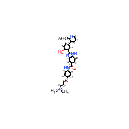 COc1ncccc1-c1ccc(O)c(-c2nc3cc(C(=O)Nc4ccc(OCCCN(C)C)cc4)ccc3[nH]2)c1